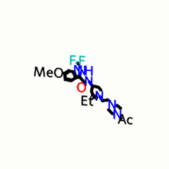 CC[C@@H]1CC(NC(=O)c2nn(C(F)F)c3cc(OC)ccc23)CCN1CCN1CCN(C(C)=O)CC1